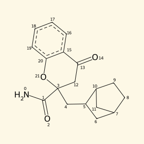 NC(=O)C1(CC2CC3CCC2C3)CC(=O)c2ccccc2O1